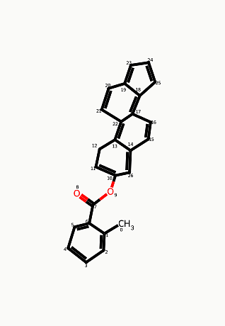 Cc1ccccc1C(=O)OC1=CCc2c(ccc3c4c(ccc23)=CC=C4)=C1